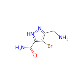 NCc1n[nH]c(C(N)=O)c1Br